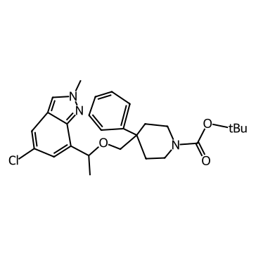 CC(OCC1(c2ccccc2)CCN(C(=O)OC(C)(C)C)CC1)c1cc(Cl)cc2cn(C)nc12